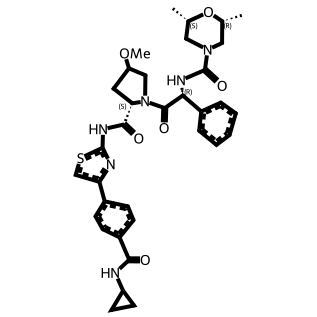 COC1C[C@@H](C(=O)Nc2nc(-c3ccc(C(=O)NC4CC4)cc3)cs2)N(C(=O)[C@H](NC(=O)N2C[C@@H](C)O[C@@H](C)C2)c2ccccc2)C1